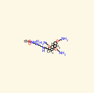 C[C@H](CCCNCCCCNCCCNC(=O)OC(C)(C)C)C1CC[C@H]2C3[C@H](OCCCN)CC4C[C@H](OCCCN)CC[C@]4(C)[C@H]3CC(OCCCN)[C@]12C